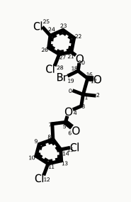 CC(C)(COC(=O)Cc1ccc(Cl)cc1Cl)C(=O)C(Br)Oc1ccc(Cl)cc1Cl